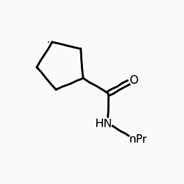 CCCNC(=O)C1C[CH]CC1